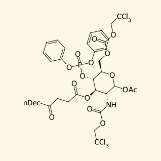 CCCCCCCCCCC(=O)CCC(=O)O[C@H]1[C@H](OP(=O)(Oc2ccccc2)Oc2ccccc2)[C@@H](COC(=O)OCC(Cl)(Cl)Cl)OC(OC(C)=O)[C@@H]1NC(=O)OCC(Cl)(Cl)Cl